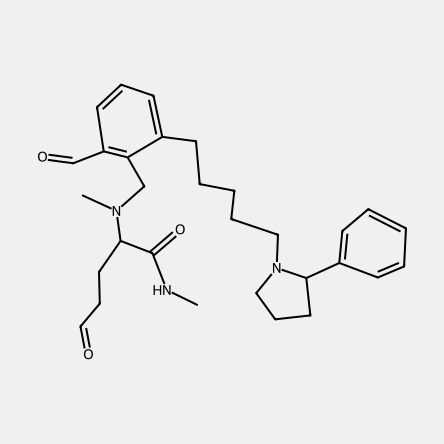 CNC(=O)C(CCC=O)N(C)Cc1c(C=O)cccc1CCCCCN1CCCC1c1ccccc1